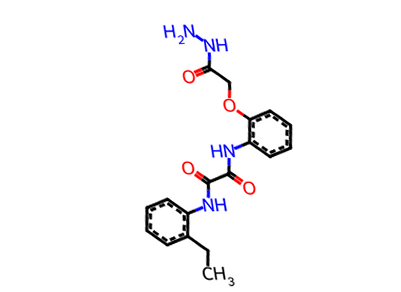 CCc1ccccc1NC(=O)C(=O)Nc1ccccc1OCC(=O)NN